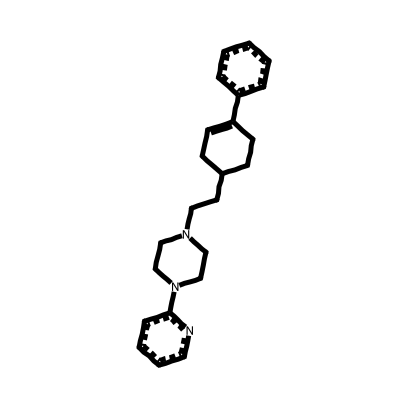 C1=C(c2ccccc2)CCC(CCN2CCN(c3ccccn3)CC2)C1